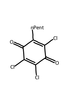 CCCCCC1=C(Cl)C(=O)C(Cl)=C(Cl)C1=O